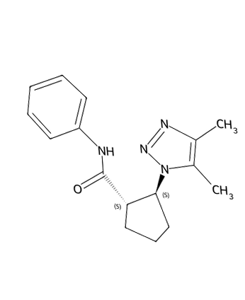 Cc1nnn([C@H]2CCC[C@@H]2C(=O)Nc2ccccc2)c1C